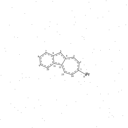 CC(C)c1ccc2cc3ccccc3c-2cc1